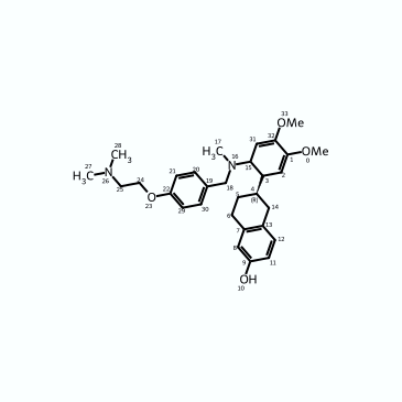 COC1=CC([C@@H]2CCc3cc(O)ccc3C2)C(N(C)Cc2ccc(OCCN(C)C)cc2)C=C1OC